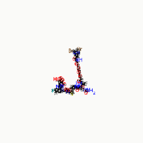 CC[C@]1(O)C(=O)OCc2c1cc1n(c2=O)Cc2c-1nc1cc(F)c(C)c3c1c2[C@H](NCC(=O)CN(Cc1cccs1)C(=O)OCc1ccc(NC(=O)[C@H](CCCNC(N)=O)NC(=O)[C@@H](NCC(=O)CCOCCOCCOCCOCCNC(=O)c2ccc4nc(CBr)c(CBr)nc4c2)C(C)C)cc1)CC3